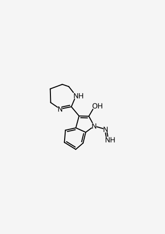 N=Nn1c(O)c(C2=NCCCCN2)c2ccccc21